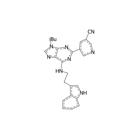 CCC(C)n1cnc2c(NCCc3c[nH]c4ccccc34)nc(-c3cncc(C#N)c3)nc21